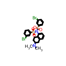 CN(C)C1CCc2c(cccc2N(S(=O)(=O)c2cccc(Br)c2)S(=O)(=O)c2cccc(Br)c2)C1